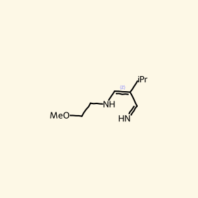 COCCN/C=C(\C=N)C(C)C